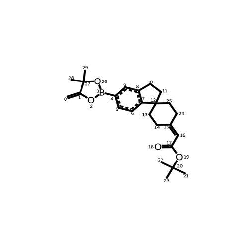 C=C1OB(c2ccc3c(c2)CCC32CCC(=CC(=O)OC(C)(C)C)CC2)OC1(C)C